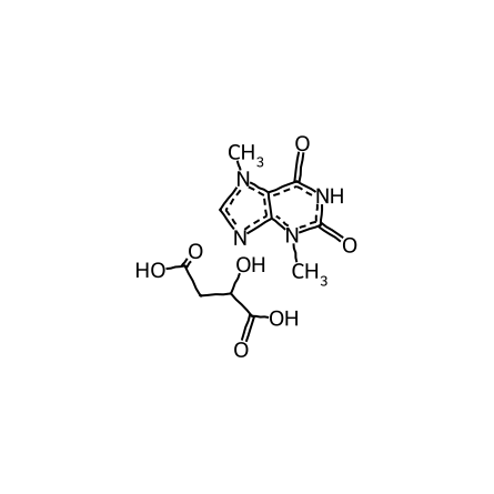 Cn1cnc2c1c(=O)[nH]c(=O)n2C.O=C(O)CC(O)C(=O)O